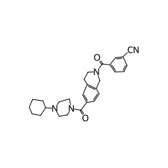 N#Cc1cccc(C(=O)N2CCc3cc(C(=O)N4CCN(C5CCCCC5)CC4)ccc3C2)c1